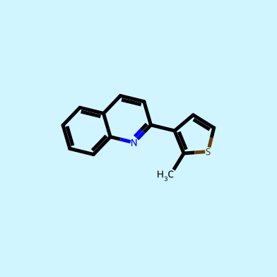 Cc1sccc1-c1ccc2ccccc2n1